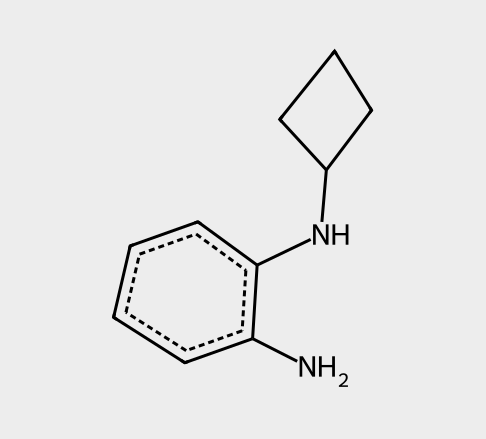 Nc1ccccc1NC1CCC1